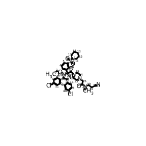 CCOc1ccc(S(=O)(=O)N2CCCCC2)cc1C1(C(=O)N2CCN(CC(=O)N(C)CCC#N)CC2)N[C@H](c2ccc(Cl)cc2)[C@H](c2ccc(Cl)cc2)N1